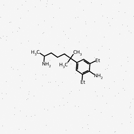 CCc1cc(C(C)(C)CCCC(C)N)cc(CC)c1N